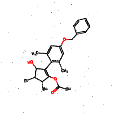 CCC(C)C1C(OC(=O)C(C)(C)C)=C(c2c(C)cc(OCc3ccccc3)cc2C)C(O)C1CC